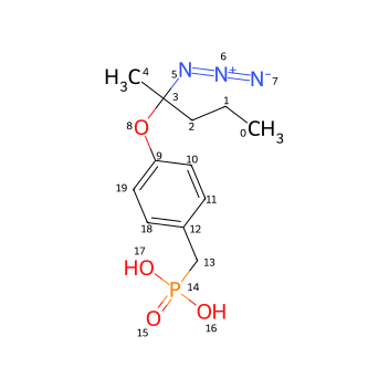 CCCC(C)(N=[N+]=[N-])Oc1ccc(CP(=O)(O)O)cc1